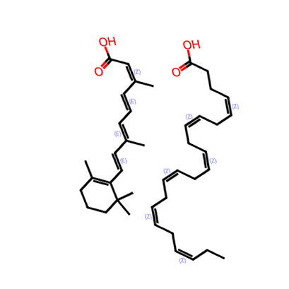 CC/C=C\C/C=C\C/C=C\C/C=C\C/C=C\C/C=C\CCC(=O)O.CC1=C(/C=C/C(C)=C/C=C/C(C)=C\C(=O)O)C(C)(C)CCC1